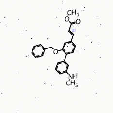 CNc1cccc(-c2ccc(/C=C/C(=O)OC)cc2OCc2ccccc2)c1